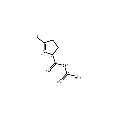 CC1=NC(C(=O)OC(=O)C(F)(F)F)CC1